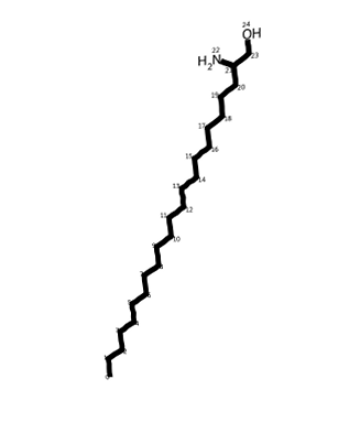 CCCCCCCCCCCCCCCCCCCCCC(N)CO